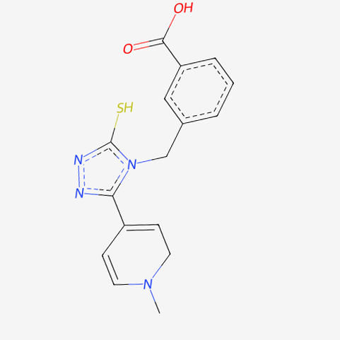 CN1C=CC(c2nnc(S)n2Cc2cccc(C(=O)O)c2)=CC1